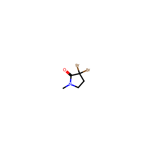 CN1CCC(Br)(Br)C1=O